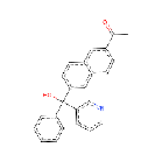 CC(=O)c1ccc2cc(C(O)(c3ccccc3)c3cccnc3)ccc2c1